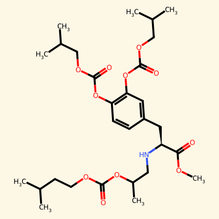 COC(=O)[C@H](Cc1ccc(OC(=O)OCC(C)C)c(OC(=O)OCC(C)C)c1)NCC(C)OC(=O)OCCC(C)C